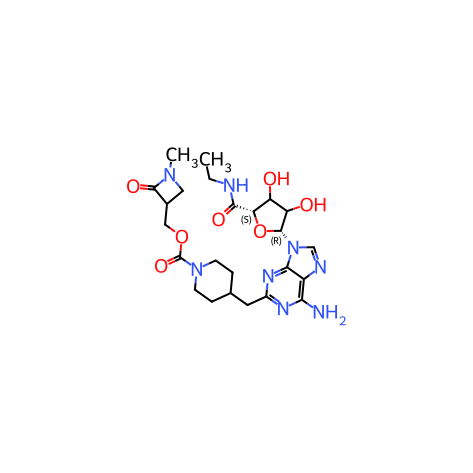 CCNC(=O)[C@H]1O[C@@H](n2cnc3c(N)nc(CC4CCN(C(=O)OCC5CN(C)C5=O)CC4)nc32)C(O)C1O